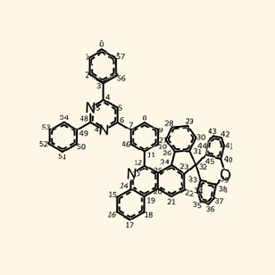 c1ccc(-c2cc(-c3cccc(-c4nc5ccccc5c5ccc6c(c45)-c4ccccc4C64c5ccccc5Oc5ccccc54)c3)nc(-c3ccccc3)n2)cc1